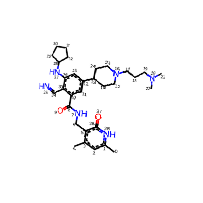 Cc1cc(C)c(CNC(=O)c2cc(C3CCN(CCCN(C)C)CC3)cc(NC3CCCC3)c2C=N)c(=O)[nH]1